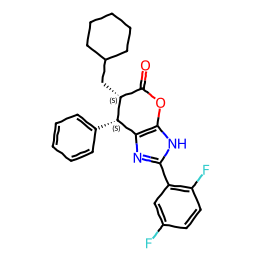 O=C1Oc2[nH]c(-c3cc(F)ccc3F)nc2[C@H](c2ccccc2)[C@@H]1CC1CCCCC1